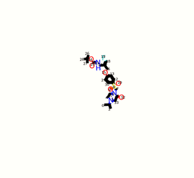 CC(C)N1CCN(CS(=O)(=O)c2ccc(OC/C(=C/F)CNC(=O)OC(C)(C)C)cc2)C(=O)C1